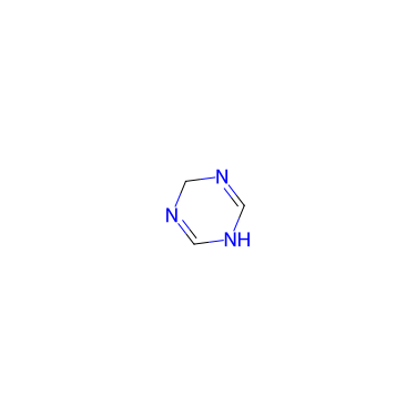 C1=NCN=CN1